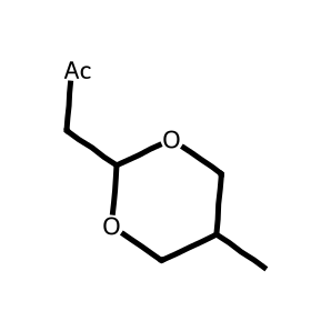 CC(=O)CC1OCC(C)CO1